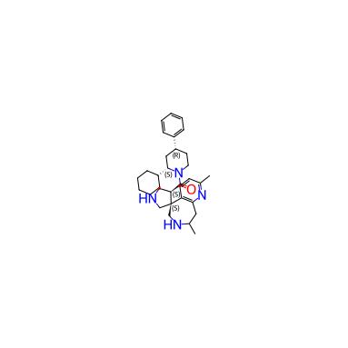 Cc1ccc2c(n1)CC(C)NC[C@]21CNC[C@H]1C(=O)N1CC[C@@H](c2ccccc2)C[C@H]1C1CCCCC1